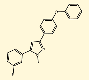 Cn1nc(-c2ccc(Oc3ccccc3)cc2)cc1-c1cccc(F)c1